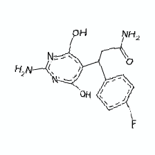 NC(=O)CC(c1ccc(F)cc1)c1c(O)nc(N)nc1O